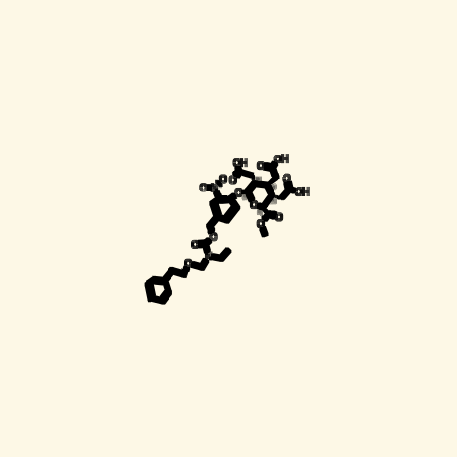 CCN(COCCc1ccccc1)C(=O)OCc1ccc(O[C@@H]2O[C@H](C(=O)OC)[C@@H](CC(=O)O)[C@H](CC(=O)O)[C@H]2CC(=O)O)c([N+](=O)[O-])c1